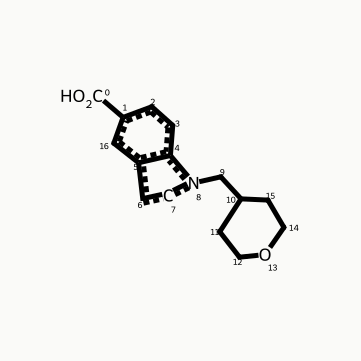 O=C(O)c1ccc2c(ccn2CC2CCOCC2)c1